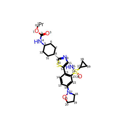 CC(C)OC(=O)N[C@H]1CC[C@H](c2ncc(-c3ccc(N4CCCO4)cc3S(=N)(=O)C3CC3)s2)CC1